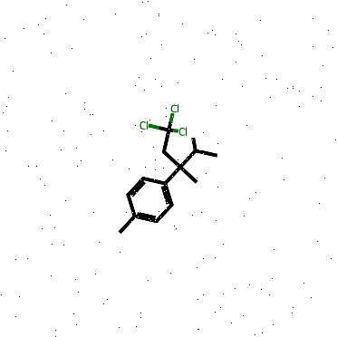 Cc1ccc(C(C)(CC(Cl)(Cl)Cl)C(C)C)cc1